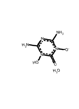 Nc1nc(N)[n+]([O-])c(=O)n1O.O